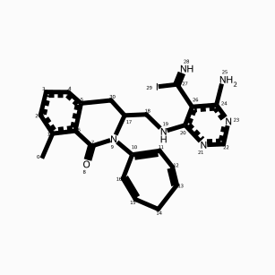 Cc1cccc2c1C(=O)N(C1=CC=CCC=C1)C(CNc1ncnc(N)c1C(=N)I)C2